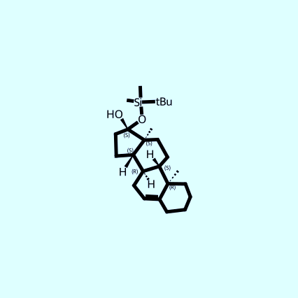 CC(C)(C)[Si](C)(C)O[C@@]1(O)CC[C@H]2[C@@H]3CC=C4CCCC[C@]4(C)[C@H]3CC[C@@]21C